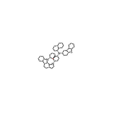 c1ccc(-n2c3ccccc3c3ccc4ccn(-c5ccc(N(c6ccc7sc8ccccc8c7c6)c6cccc7ccccc67)cc5)c4c32)cc1